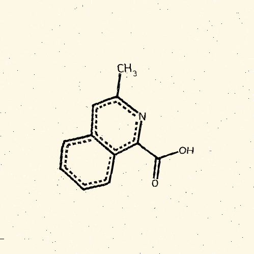 Cc1cc2ccccc2c(C(=O)O)n1